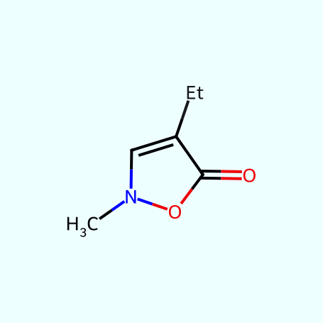 CCc1cn(C)oc1=O